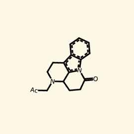 CC(=O)CN1CCc2c3n(c4ccccc24)C(=O)CCC31